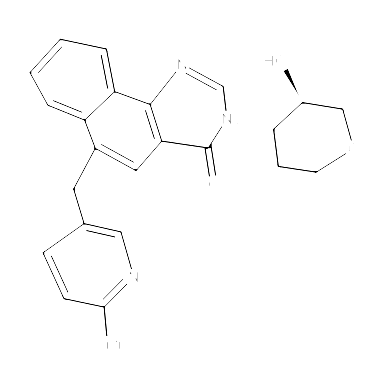 CC(C)c1ccc(Cc2cc3c(=O)n([C@H]4CCOC[C@@H]4O)cnc3c3ccccc23)cn1